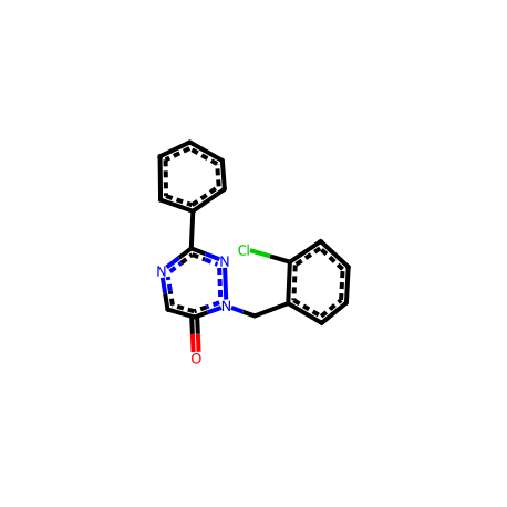 O=c1cnc(-c2ccccc2)nn1Cc1ccccc1Cl